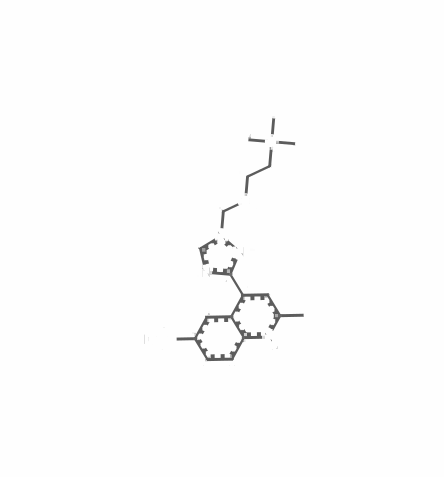 Cc1cc(-c2ncn(COCC[Si](C)(C)C)n2)c2cc(C(=O)O)ccc2n1